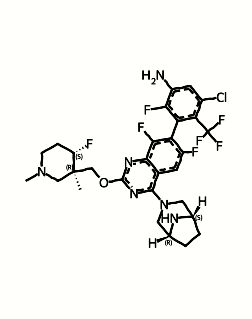 CN1CC[C@H](F)[C@@](C)(COc2nc(N3C[C@H]4CC[C@@H](C3)N4)c3cc(F)c(-c4c(F)c(N)cc(Cl)c4C(F)(F)F)c(F)c3n2)C1